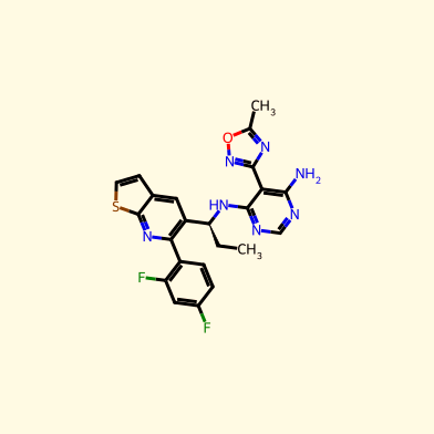 CC[C@H](Nc1ncnc(N)c1-c1noc(C)n1)c1cc2ccsc2nc1-c1ccc(F)cc1F